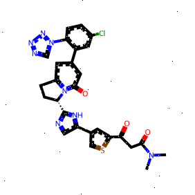 CN(C)C(=O)CC(=O)c1cc(-c2cnc([C@@H]3CCc4cc(-c5cc(Cl)ccc5-n5cnnn5)cc(=O)n43)[nH]2)cs1